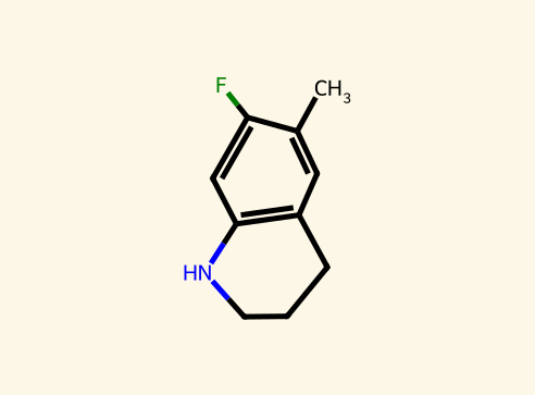 Cc1cc2c(cc1F)NCCC2